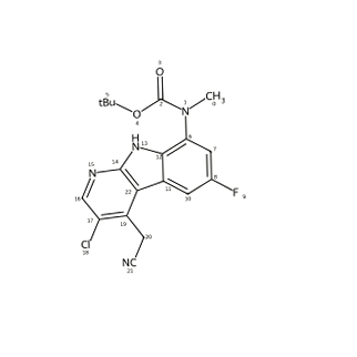 CN(C(=O)OC(C)(C)C)c1cc(F)cc2c1[nH]c1ncc(Cl)c(CC#N)c12